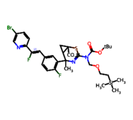 CC(C)(C)OC(=O)N(COCC[Si](C)(C)C)C1=NC(C)(c2cc(/C=C(\F)c3ccc(Br)cn3)ccc2F)C2CC2(C(=O)O)S1